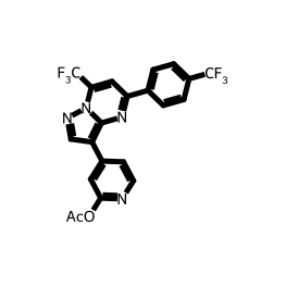 CC(=O)Oc1cc(-c2cnn3c(C(F)(F)F)cc(-c4ccc(C(F)(F)F)cc4)nc23)ccn1